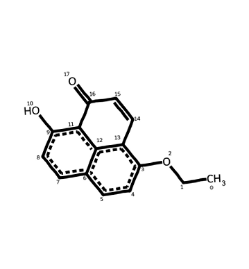 CCOc1ccc2ccc(O)c3c2c1C=CC3=O